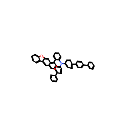 c1ccc(-c2ccc(-c3ccc(N(c4ccc(-c5ccccc5)cc4)c4ccccc4-c4cccc5cc6c(cc45)oc4ccccc46)cc3)cc2)cc1